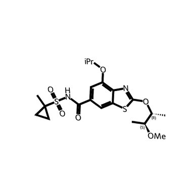 CO[C@@H](C)[C@@H](C)Oc1nc2c(OC(C)C)cc(C(=O)NS(=O)(=O)C3(C)CC3)cc2s1